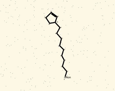 CCCCCCCCCCCCCCCCCCC1C=CCC1